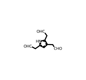 O=CCc1cc(CC=O)c(CC=O)[nH]1